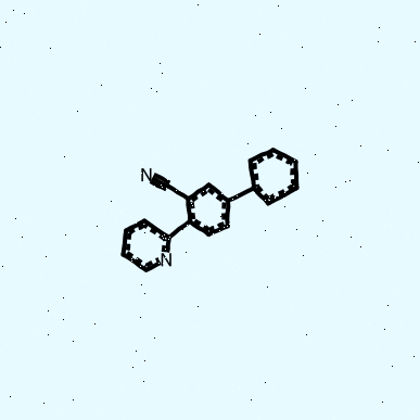 N#Cc1cc(-c2ccccc2)ccc1-c1ccccn1